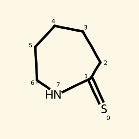 S=C1CCCC[CH]N1